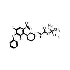 CC(C)(C)OC(=O)NC[C@@H]1CCCN(c2c([N+](=O)[O-])cc(F)c(Oc3ccccc3)c2F)C1